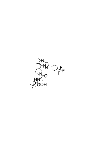 Cc1nc2cc([C@H]3CC[C@H](C(F)(F)F)CC3)nn2c([C@@H]2CCCN(C(=O)[C@H](CO)NC(=O)OC(C)(C)C)C2)c1C